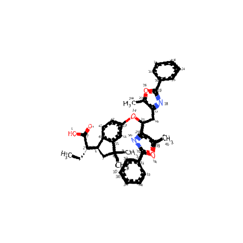 CC[C@H](C(=O)O)[C@@H]1CC(C)(C)c2cc(OC(Cc3nc(-c4ccccc4)oc3C)c3nc(-c4ccccc4)oc3C)ccc21